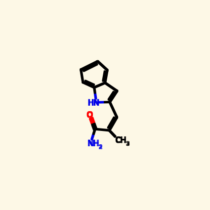 CC(=Cc1cc2ccccc2[nH]1)C(N)=O